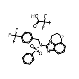 O=C(O)C(F)(F)F.O=S(=O)(c1ccccc1)N(Cc1ccc(C(F)(F)F)cc1)c1nc2cccc3c2n1CCO3